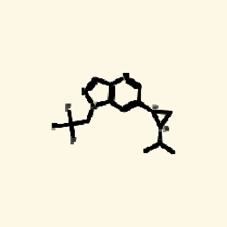 CC(C)[C@H]1C[C@@H]1c1cnc2cnn(CC(F)(F)F)c2c1